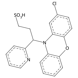 O=S(=O)(O)CCC(c1ccccn1)N1c2ccccc2Oc2ccc(Cl)cc21